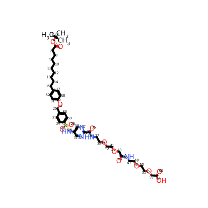 CC(C)(C)OC(=O)CCCCCCCCCc1ccc(OCc2ccc(S(=O)(=O)Nc3cnc(C(=O)NCCOCCOCC(=O)NCCOCCOCC(=O)O)nc3)cc2)cc1